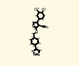 N#Cc1c(-c2ccc(Cl)c(Cl)c2)csc1OCc1ccc(-c2csnn2)cc1